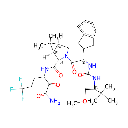 COC[C@@H](NC(=O)N[C@H](C(=O)N1C[C@H]2[C@@H]([C@H]1C(=O)NC(CCC(F)(F)F)C(=O)C(N)=O)C2(C)C)C1Cc2ccccc2C1)C(C)(C)C